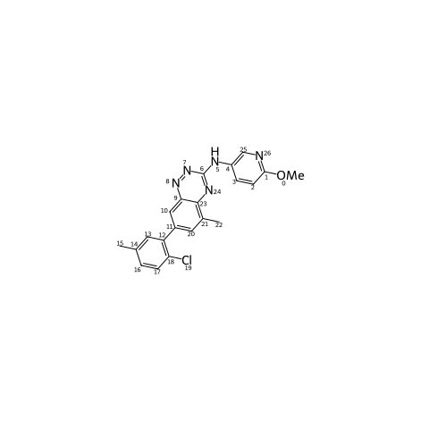 COc1ccc(Nc2nnc3cc(-c4cc(C)ccc4Cl)cc(C)c3n2)cn1